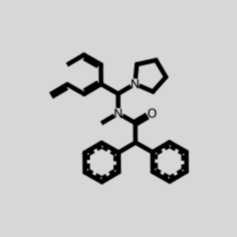 C=C/C=C(\C=C/C)C(N1CCCC1)N(C)C(=O)C(c1ccccc1)c1ccccc1